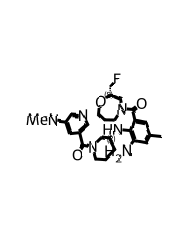 CNc1cncc(C(=O)N2CCC[C@@H](Nc3c(N)cc(C)cc3C(=O)N3CCCO[C@H](CF)C3)C2)c1